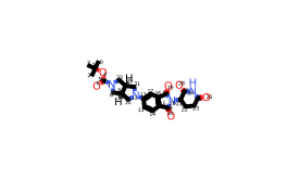 CC(C)(C)OC(=O)N1C[C@@H]2CN(c3ccc4c(c3)C(=O)N(C3CCC(=O)NC3=O)C4=O)C[C@@H]2C1